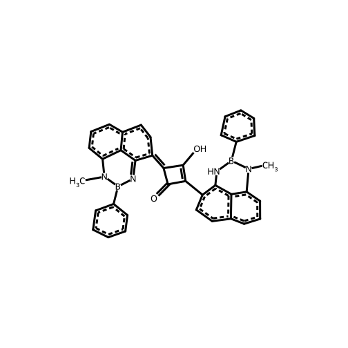 CN1B(c2ccccc2)Nc2c(C3=C(O)/C(=c4\ccc5cccc6c5c4=NB(c4ccccc4)N6C)C3=O)ccc3cccc1c23